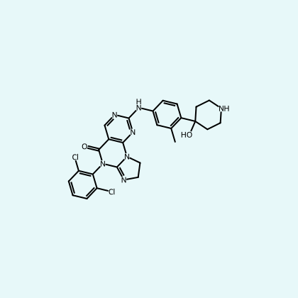 Cc1cc(Nc2ncc3c(n2)N2CCN=C2N(c2c(Cl)cccc2Cl)C3=O)ccc1C1(O)CCNCC1